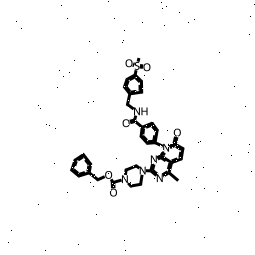 Cc1nc(N2CCN(C(=O)OCc3ccccc3)CC2)nc2c1ccc(=O)n2-c1ccc(C(=O)NCc2ccc(S(C)(=O)=O)cc2)cc1